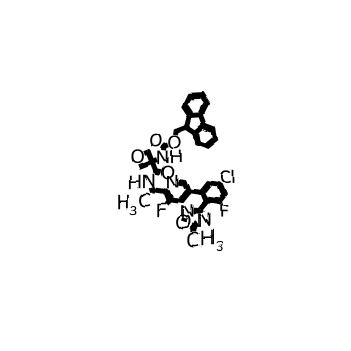 Cc1nc(-c2c(F)cc(Cl)cc2-c2cnc([C@@H](C)NC(=O)C3(NC(=O)OCC4c5ccccc5-c5ccccc54)COC3)c(F)c2)no1